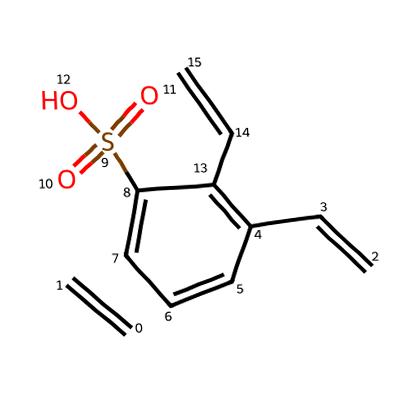 C=C.C=Cc1cccc(S(=O)(=O)O)c1C=C